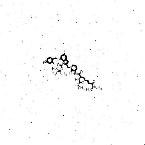 COC(=O)NC(CCC=CC(=O)N(C)C)C(=O)Nc1cccn(Cc2cc3cc(F)cc(OCc4ccc(F)cc4F)c3n2C(=O)OC(C)(C)C)c1=O